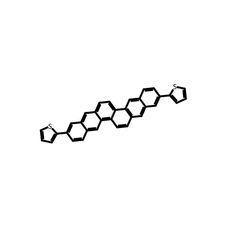 c1csc(-c2ccc3cc4c(ccc5c6cc7ccc(-c8cccs8)cc7cc6ccc45)cc3c2)c1